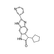 O=C1Nc2cc3[nH]c(-c4cccnc4)nc3cc2C1C1CCCC1